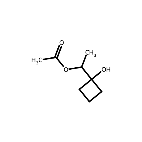 CC(=O)OC(C)C1(O)CCC1